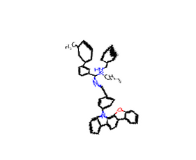 CC1C=CC=C(c2cccc(C(/N=C/c3ccc(-n4c5ccccc5c5ccc6c7ccccc7oc6c54)cc3)N(C)NCc3ccccc3)c2)C1